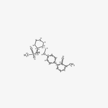 Cn1cccc(-c2ccc(OC[C@H]3CSCC[C@@H]3NS(C)(=O)=O)cc2)c1=O